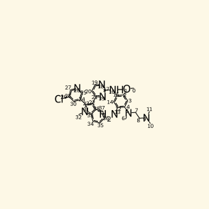 COc1cc(N(C)CCN(C)C)c(N)cc1Nc1nccc(-c2c(-c3cncc(Cl)c3)n(C)c3ccccc23)n1